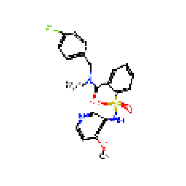 CCOc1ccncc1NS(=O)(=O)c1ccccc1C(=O)N(C)Cc1ccc(F)cc1